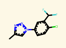 [CH2]c1cn(-c2ccc(Cl)c(C(F)F)c2)nn1